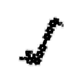 CNC(=O)C(CCC=O)N1C(=O)c2cccc(N3CCC(N4CCC(C#Cc5ccc(C6CCN(C7=Nn8c(nnc8C(F)(F)F)CC7)CC6)cc5)CC4)CC3)c2C1=O